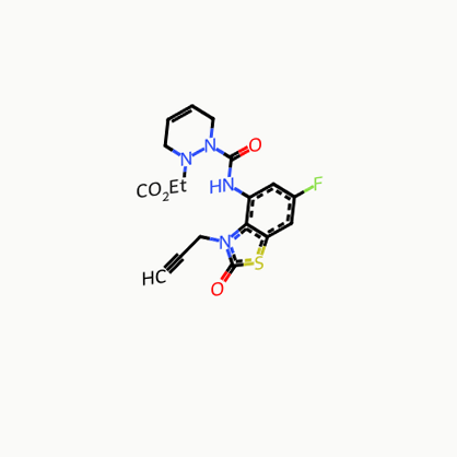 C#CCn1c(=O)sc2cc(F)cc(NC(=O)N3CC=CCN3C(=O)OCC)c21